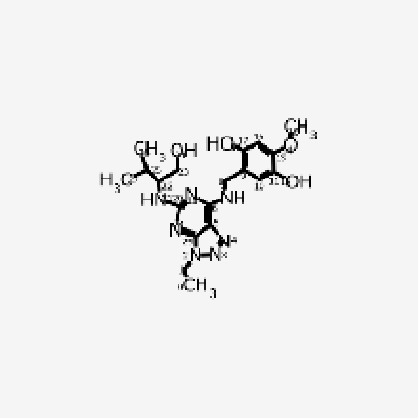 CCn1nnc2c(NCc3cc(O)c(OC)cc3O)nc(NC(CO)C(C)C)nc21